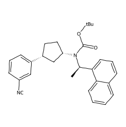 [C-]#[N+]c1cccc([C@@H]2CC[C@H](N(C(=O)OC(C)(C)C)[C@H](C)c3cccc4ccccc34)C2)c1